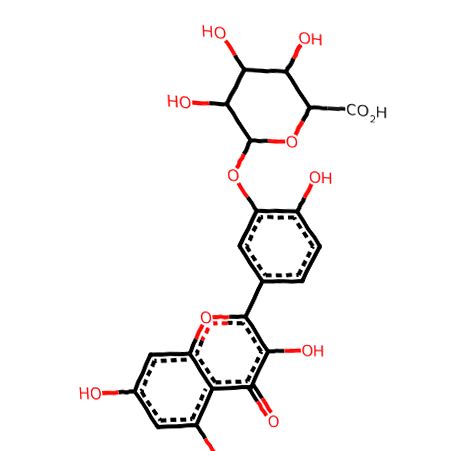 O=C(O)C1OC(Oc2cc(-c3oc4cc(O)cc(O)c4c(=O)c3O)ccc2O)C(O)C(O)C1O